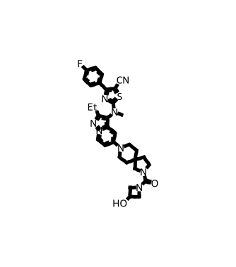 CCc1nn2ccc(N3CCC4(CCN(C(=O)N5CC(O)C5)C4)CC3)cc2c1N(C)c1nc(-c2ccc(F)cc2)c(C#N)s1